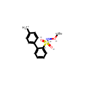 Cc1ccc(-c2ccccc2S(=O)(=O)NOC(C)(C)C)cc1